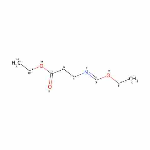 CCOC=NCCC(=O)OCC